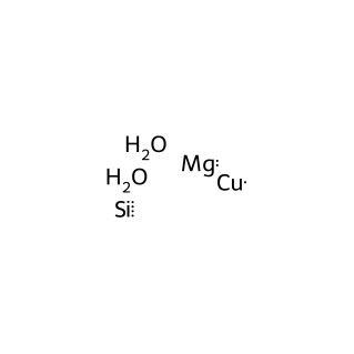 O.O.[Cu].[Mg].[Si]